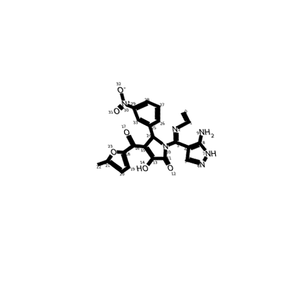 C=C/N=C(\c1cn[nH]c1N)N1C(=O)C(O)=C(C(=O)c2ccc(C)o2)C1c1cccc([N+](=O)[O-])c1